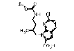 CC(CCNC(=O)OC(C)(C)C)Cn1c(C(=O)O)cc2cnc(Cl)nc21